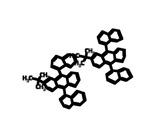 CC(C)(C)c1ccc2c(-c3cccc4ccccc34)c3ccccc3c(-c3cccc4ccccc34)c2c1.CC(C)(C)c1ccc2c(-c3cccc4ccccc34)c3ccccc3c(-c3cccc4ccccc34)c2c1